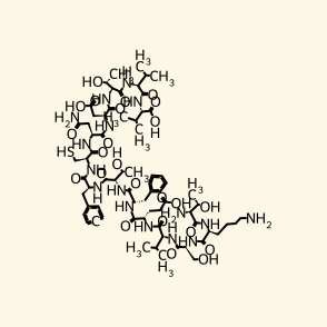 CC(C)[C@H](NC(=O)[C@@H](NC(=O)[C@@H](NC(=O)[C@H](CC(=O)O)NC(=O)[C@H](CC(N)=O)NC(=O)[C@H](CS)NC(=O)[C@H](Cc1ccccc1)NC(=O)[C@@H](NC(=O)[C@H](Cc1ccccc1)NC(=O)[C@H](CCC(=O)O)NC(=O)[C@@H](NC(=O)[C@H](CO)NC(=O)[C@H](CCCCN)NC(=O)[C@@H](N)[C@@H](C)O)C(C)C)[C@@H](C)O)[C@@H](C)O)C(C)C)C(=O)O